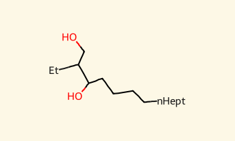 CCCCCCCCCCCC(O)C(CC)CO